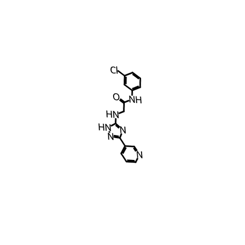 O=C(CNc1nc(-c2cccnc2)n[nH]1)Nc1cccc(Cl)c1